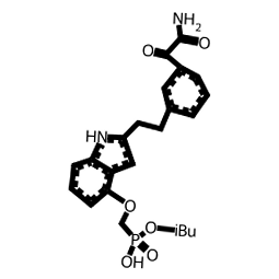 CCC(C)OP(=O)(O)COc1cccc2[nH]c(CCc3cccc(C(=O)C(N)=O)c3)cc12